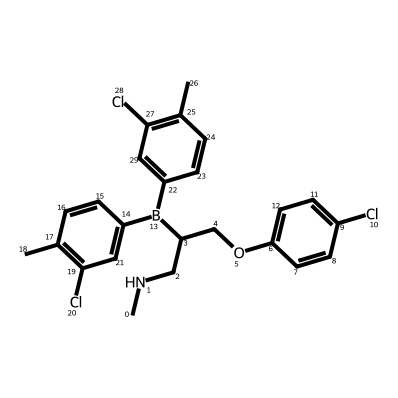 CNCC(COc1ccc(Cl)cc1)B(c1ccc(C)c(Cl)c1)c1ccc(C)c(Cl)c1